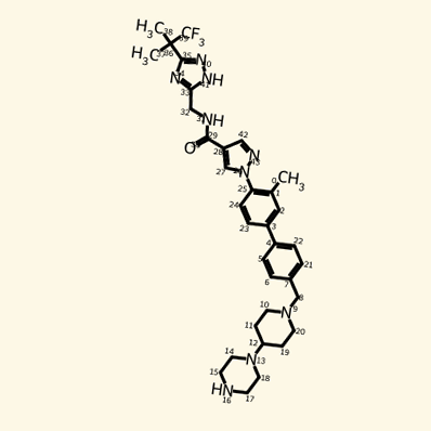 Cc1cc(-c2ccc(CN3CCC(N4CCNCC4)CC3)cc2)ccc1-n1cc(C(=O)NCc2nc(C(C)(C)C(F)(F)F)n[nH]2)cn1